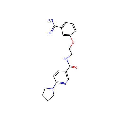 N=C(N)c1cccc(OCCNC(=O)c2ccc(N3CCCC3)nc2)c1